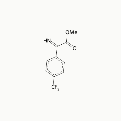 COC(=O)C(=N)c1ccc(C(F)(F)F)cc1